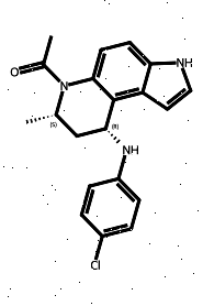 CC(=O)N1c2ccc3[nH]ccc3c2[C@H](Nc2ccc(Cl)cc2)C[C@@H]1C